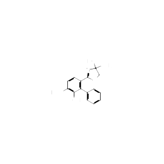 Cc1ccc(C2=NC(C)(C)CO2)c(-c2ccccc2)c1C